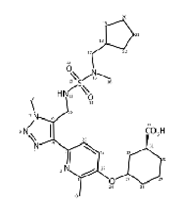 Cc1nc(-c2nnn(C)c2CNS(=O)(=O)N(C)CC2CCCC2)ccc1OC1CCC[C@H](C(=O)O)C1